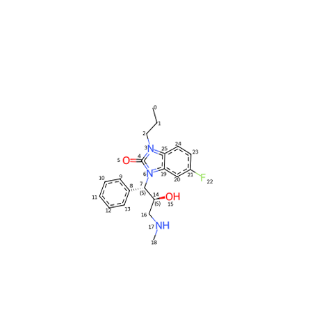 CCCn1c(=O)n([C@@H](c2ccccc2)[C@@H](O)CNC)c2cc(F)ccc21